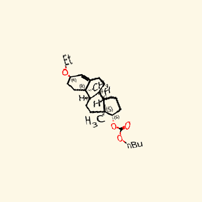 CCCCOC(=O)O[C@H]1CC[C@H]2[C@@H]3CCC4=C[C@H](OCC)CC[C@]4(C)[C@H]3CC[C@]12C